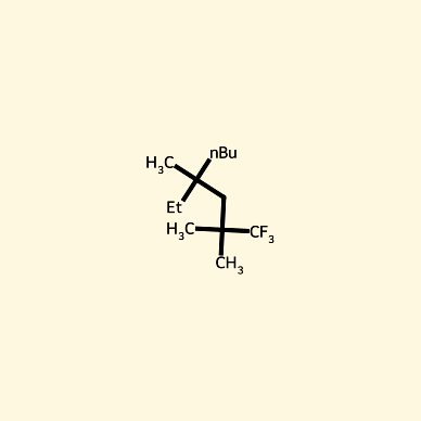 CCCCC(C)(CC)CC(C)(C)C(F)(F)F